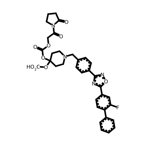 O=C(O)OC1(OC(=O)OCC(=O)N2CCCC2=O)CCN(Cc2ccc(-c3noc(-c4ccc(-c5ccccc5)c(F)c4)n3)cc2)CC1